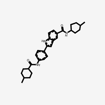 CC1CCC(NC(=O)c2ccc3[nH]c(-c4ccc(NC(=O)C5CCC(C)CC5)cc4)cc3c2)CC1